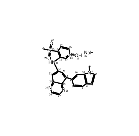 Cn1ccc2ccc(-c3cc(Nc4c[n+](O)ccc4S(C)(=O)=O)cc4nccnc34)cc21.[NaH]